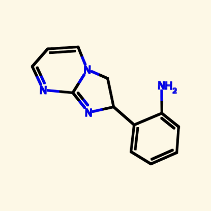 Nc1ccccc1C1CN2C=CC=NC2=N1